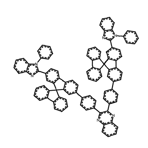 c1ccc(-n2c(-c3ccc4c(c3)C3(c5ccccc5-c5ccccc53)c3cc(-c5ccc(-c6nc7ccccc7nc6-c6ccc(-c7ccc8c(c7)C7(c9ccccc9-c9ccccc97)c7cc(-c9nc%10ccccc%10n9-c9ccccc9)ccc7-8)cc6)cc5)ccc3-4)nc3ccccc32)cc1